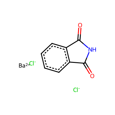 O=C1NC(=O)c2ccccc21.[Ba+2].[Cl-].[Cl-]